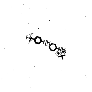 CC(C)(C)S(=O)(=O)N[C@H]1CC[C@H](CNc2ccc(C(F)(F)F)cc2)CC1